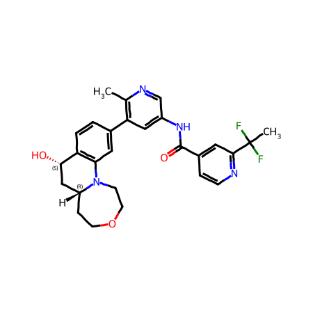 Cc1ncc(NC(=O)c2ccnc(C(C)(F)F)c2)cc1-c1ccc2c(c1)N1CCOCC[C@@H]1C[C@@H]2O